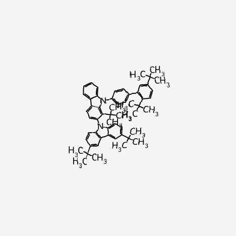 CC(C)(C)c1ccc(C(C)(C)C)c(-c2ccc(-n3c4ccccc4c4ccc(-n5c6ccc(C(C)(C)C)cc6c6cc(C(C)(C)C)ccc65)c(C(C)(C)C)c43)cc2)c1